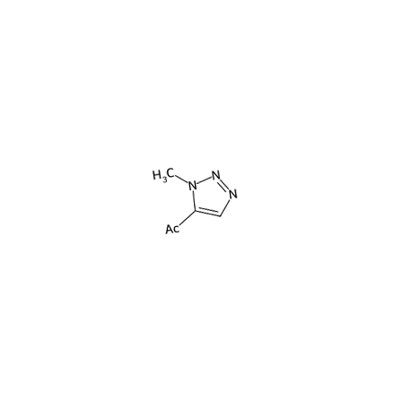 CC(=O)c1cnnn1C